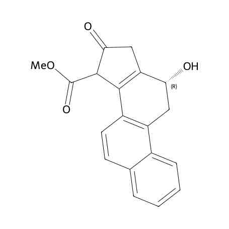 COC(=O)C1C(=O)CC2=C1c1ccc3ccccc3c1C[C@H]2O